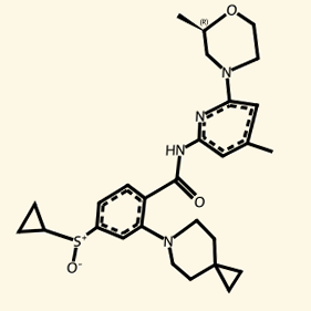 Cc1cc(NC(=O)c2ccc([S+]([O-])C3CC3)cc2N2CCC3(CC2)CC3)nc(N2CCO[C@H](C)C2)c1